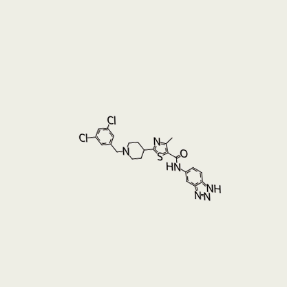 Cc1nc(C2CCN(Cc3cc(Cl)cc(Cl)c3)CC2)sc1C(=O)Nc1ccc2[nH]nnc2c1